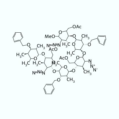 COC1OC(COC(C)=O)[C@@H](O[C@@H]2OC(C)[C@H](O[C@@H]3OC(COC(C)=O)[C@@H](O[C@@H]4OC(C)C(O[C@H]5OC(COC(C)=O)[C@@H](O[C@@H]6OC(C)[C@@H](C)[C@@H](OCc7ccccc7)C6C)[C@H](C)C5N=[N+]=[N-])[C@@H](OCc5ccccc5)C4C)[C@H](C)C3N=[N+]=[N-])[C@@H](OCc3ccccc3)C2C)[C@H](C)C1N=[N+]=[N-]